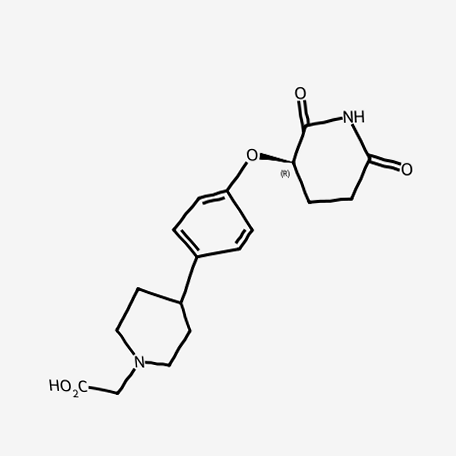 O=C(O)CN1CCC(c2ccc(O[C@@H]3CCC(=O)NC3=O)cc2)CC1